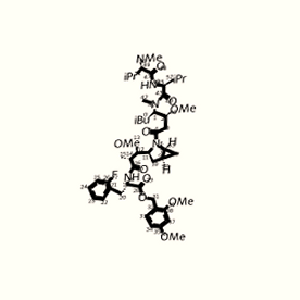 CC[C@H](C)[C@@H]([C@@H](CC(=O)N1[C@H]2C[C@H]2C[C@H]1[C@H](OC)[C@@H](C)C(=O)N[C@@H](Cc1ccccc1F)C(=O)OCc1ccc(OC)cc1OC)OC)N(C)C(=O)[C@@H](NC(=O)[C@@H](NC)C(C)C)C(C)C